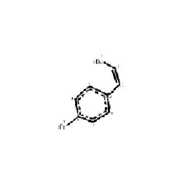 CCCC/C=[C]\c1ccc(C(C)C)cc1